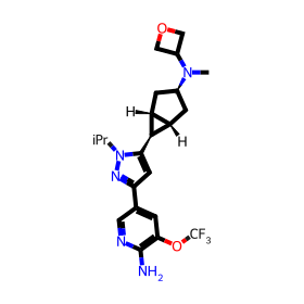 CC(C)n1nc(-c2cnc(N)c(OC(F)(F)F)c2)cc1[C@H]1[C@@H]2C[C@@H](N(C)C3COC3)C[C@@H]21